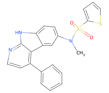 CN(c1ccc2[nH]c3nccc(-c4ccccc4)c3c2c1)S(=O)(=O)c1cccs1